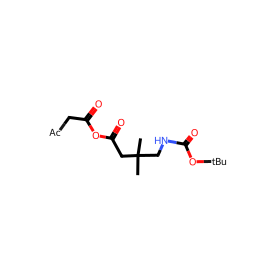 CC(=O)CC(=O)OC(=O)CC(C)(C)CNC(=O)OC(C)(C)C